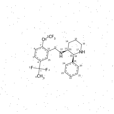 CC(F)(F)c1ccc(OC(F)(F)F)c(CN[C@H]2CCCN[C@H]2c2ccccc2)c1